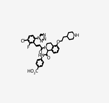 O=C(O)c1ccc(NC(=O)C2c3cccc(OCCC4CCNCC4)c3CCN2C(=O)C=Cc2c(-n3cnnn3)ccc(Cl)c2F)cc1